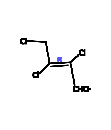 O=[C]/C(Cl)=C(\Cl)CCl